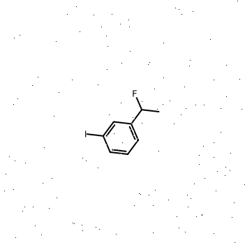 CC(F)c1cccc(I)c1